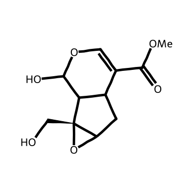 COC(=O)C1=COC(O)C2C1CC1O[C@@]12CO